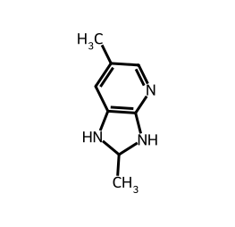 Cc1cnc2c(c1)NC(C)N2